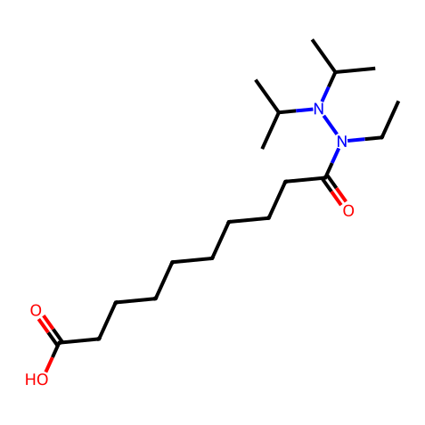 CCN(C(=O)CCCCCCCCC(=O)O)N(C(C)C)C(C)C